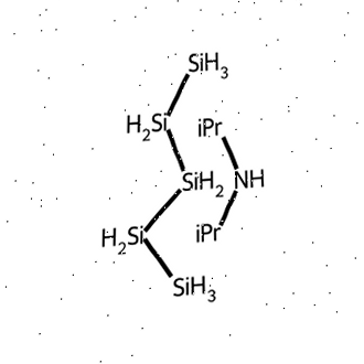 CC(C)NC(C)C.[SiH3][SiH2][SiH2][SiH2][SiH3]